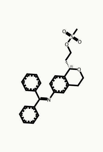 CS(=O)(=O)OCC[C@@H]1OCCc2cc(N=C(c3ccccc3)c3ccccc3)ccc21